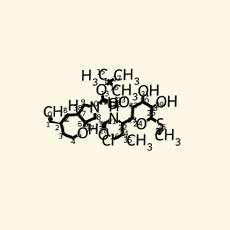 C=C[C@@H]1CCO[C@@H]2[C@@H](C1)CN(C(=O)OC(C)(C)C)[C@@H]2C(=O)N[C@@H]([C@H]1OC(SC)[C@H](O)C(O)[C@@H]1O)[C@H](C)Cl